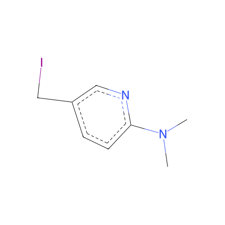 CN(C)c1ccc(CI)cn1